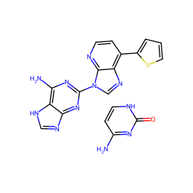 Nc1cc[nH]c(=O)n1.Nc1nc(-n2cnc3c(-c4cccs4)ccnc32)nc2nc[nH]c12